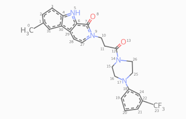 Cc1ccc2[nH]c3c(=O)n(CCC(=O)N4CCN(c5cccc(C(F)(F)F)c5)CC4)ccc3c2c1